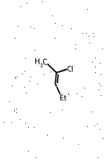 [CH2]CC=C(C)Cl